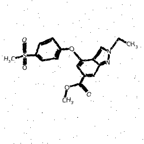 CCn1cc2c(Oc3ccc(S(C)(=O)=O)cc3)cc(C(=O)OC)cc2n1